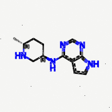 C[C@@H]1CC[C@@H](Nc2ncnc3[nH]ccc23)CN1